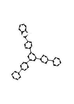 c1ccc(-c2ccc(-c3cc(-c4ccc(-c5ccccc5)cc4)cc(-c4ccc(-c5nc6ccccc6o5)cc4)c3)cc2)cc1